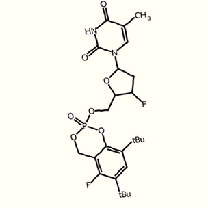 Cc1cn(C2CC(F)C(COP3(=O)OCc4c(F)c(C(C)(C)C)cc(C(C)(C)C)c4O3)O2)c(=O)[nH]c1=O